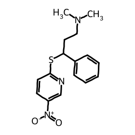 CN(C)CCC(Sc1ccc([N+](=O)[O-])cn1)c1ccccc1